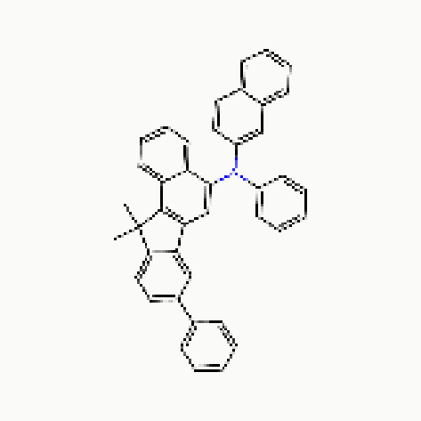 CC1(C)c2ccc(-c3ccccc3)cc2-c2cc(N(c3ccccc3)c3ccc4ccccc4c3)c3ccccc3c21